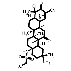 CC1(C)CC[C@]2(NS(=O)(=O)CC(F)(F)F)CC[C@]3(C)[C@H](C(=O)C[C@@H]4[C@@]5(C)C=C(C#N)C(=O)C(C)(C)[C@@H]5CC[C@]43C)[C@H]2C1